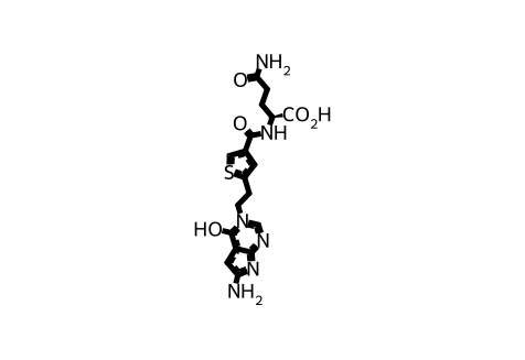 NC(=O)CC[C@H](NC(=O)c1csc(CCn2cnc3nc(N)cc-3c2O)c1)C(=O)O